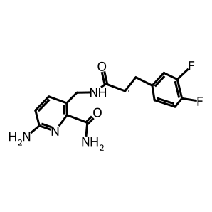 NC(=O)c1nc(N)ccc1CNC(=O)[CH]Cc1ccc(F)c(F)c1